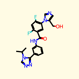 CC(C)n1cnnc1-c1cccc(NC(=O)c2cc(-n3cncc3CO)c(F)cc2F)c1